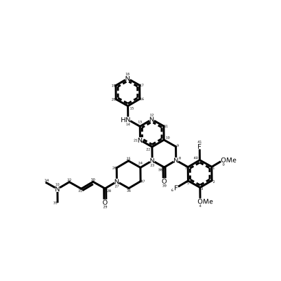 COc1cc(OC)c(F)c(N2Cc3cnc(Nc4ccncc4)nc3N(C3CCN(C(=O)/C=C/CN(C)C)CC3)C2=O)c1F